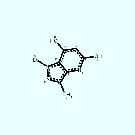 CCn1nc(C)c2nc(O)cc(O)c21